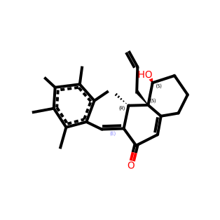 C=CC[C@@]12C(=CC(=O)/C(=C/c3c(C)c(C)c(C)c(C)c3C)[C@@H]1C)CCC[C@@H]2O